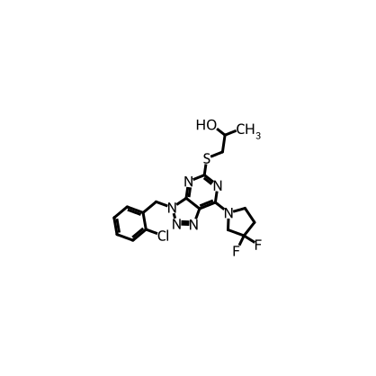 CC(O)CSc1nc(N2CCC(F)(F)C2)c2nnn(Cc3ccccc3Cl)c2n1